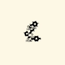 [CH2]c1ccc(C(=NO)NC(=O)[C@@H]2CCCN2C(=O)C(CC(C)C)NS(=O)(=O)Cc2ccccc2)cc1